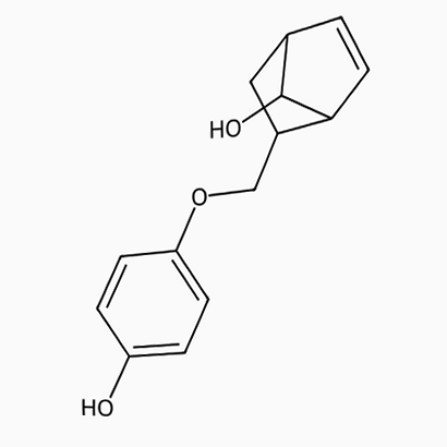 Oc1ccc(OCC2CC3C=CC2C3O)cc1